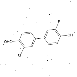 O=Cc1ccc(-c2ccc(O)c(F)c2)cc1Cl